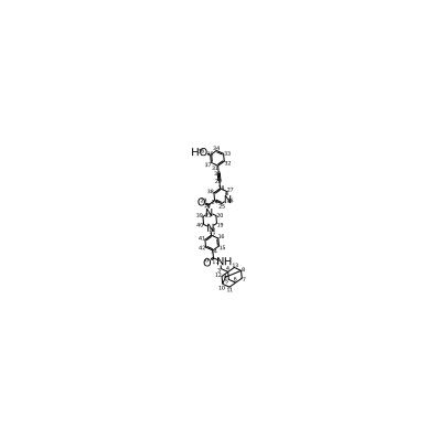 O=C(NCC12CC3CC(CC(C3)C1)C2)c1ccc(N2CCN(C(=O)c3cncc(C#Cc4cccc(O)c4)c3)CC2)cc1